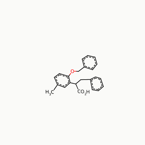 Cc1ccc(OCc2ccccc2)c(C(Cc2ccccc2)C(=O)O)c1